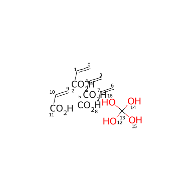 C=CC(=O)O.C=CC(=O)O.C=CC(=O)O.C=CC(=O)O.OC(O)(O)O